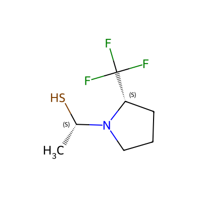 C[C@H](S)N1CCC[C@H]1C(F)(F)F